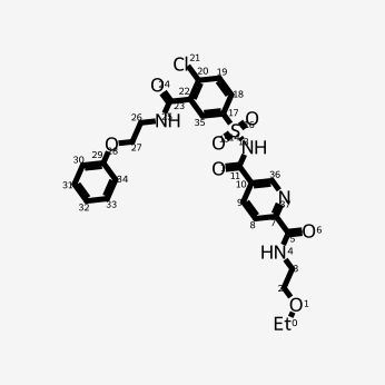 CCOCCNC(=O)c1ccc(C(=O)NS(=O)(=O)c2ccc(Cl)c(C(=O)NCCOc3ccccc3)c2)cn1